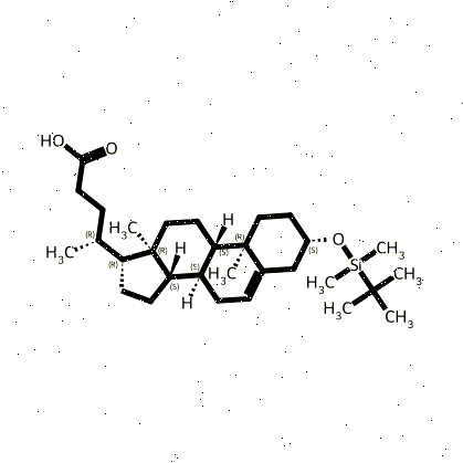 C[C@H](CCC(=O)O)[C@H]1CC[C@H]2[C@@H]3CC=C4C[C@@H](O[Si](C)(C)C(C)(C)C)CC[C@]4(C)[C@H]3CC[C@]12C